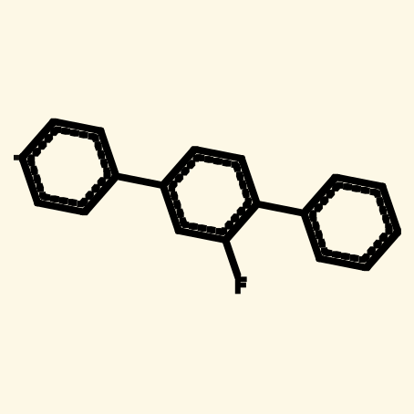 Fc1cc(-c2cc[c]cc2)ccc1-c1ccccc1